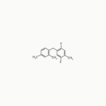 Cc1ccc(Cc2cc(F)c(C)cc2F)c(C)c1